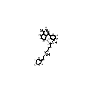 O=C(CCCCNCCC1=CCCCC1)Nc1cccc(-c2n[nH]c(=O)c3ccccc23)c1